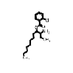 CCCCCCCCC(OC(=O)c1ccccc1Cl)C(N)CC